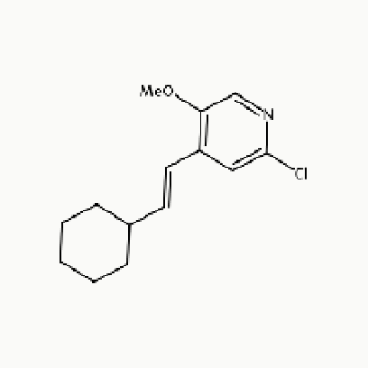 COc1cnc(Cl)cc1/C=C/C1CCCCC1